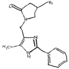 CCCC1CC(=O)N(Cc2nc(-c3ccccc3)[nH]c2C)C1